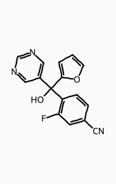 N#Cc1ccc(C(O)(c2cncnc2)c2ccco2)c(F)c1